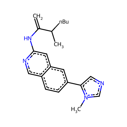 C=C(Nc1cc2cc(-c3cncn3C)ccc2cn1)C(C)CCCC